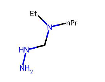 CCCN(CC)CNN